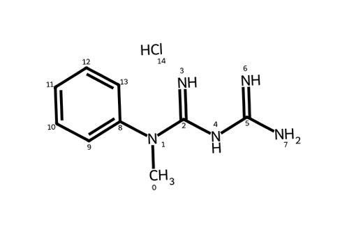 CN(C(=N)NC(=N)N)c1ccccc1.Cl